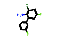 Nc1c(Cl)cc(F)cc1-c1cccc(F)c1